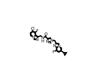 O=C(NCc1ncn2ccc(Cl)c(F)c12)c1cn(Cc2cn3cc(C4CC4)cc(F)c3n2)nn1